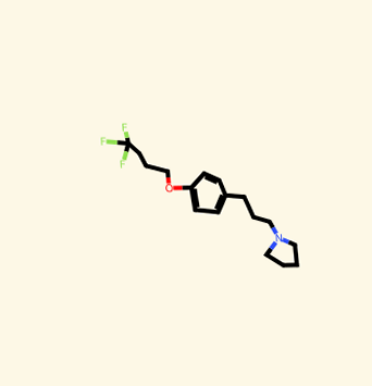 FC(F)(F)CCCOc1ccc(CCCN2CCCC2)cc1